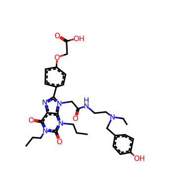 CCCn1c(=O)c2nc(-c3ccc(OCC(=O)O)cc3)n(CC(=O)NCCN(CC)Cc3ccc(O)cc3)c2n(CCC)c1=O